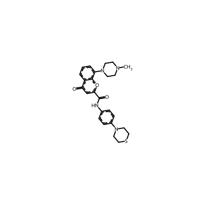 CN1CCN(c2cccc3c(=O)cc(C(=O)Nc4ccc(N5CCSCC5)cc4)oc23)CC1